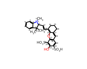 CN1c2ccccc2C(C)(C)C1C=CC1=C2Oc3c(cc(S(=O)(=O)O)c(O)c3S(=O)(=O)O)C=C2CCC1